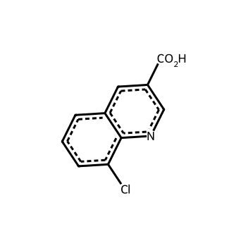 O=C(O)c1cnc2c(Cl)cccc2c1